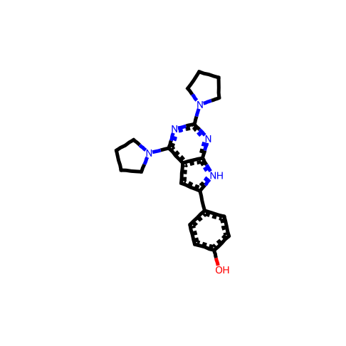 Oc1ccc(-c2cc3c(N4CCCC4)nc(N4CCCC4)nc3[nH]2)cc1